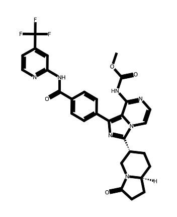 COC(=O)Nc1nccn2c([C@@H]3CC[C@H]4CCC(=O)N4C3)nc(-c3ccc(C(=O)Nc4cc(C(F)(F)F)ccn4)cc3)c12